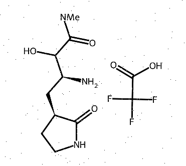 CNC(=O)C(O)[C@@H](N)C[C@@H]1CCNC1=O.O=C(O)C(F)(F)F